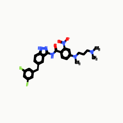 CN(C)CCCN(C)c1ccc(C(=O)Nc2n[nH]c3ccc(Cc4cc(F)cc(F)c4)cc23)c([N+](=O)[O-])c1